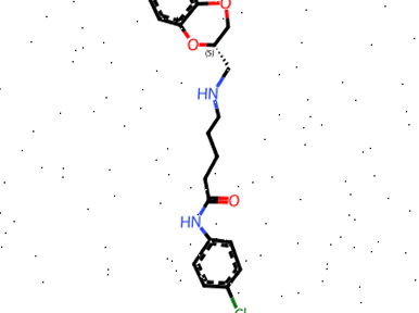 O=C(CCCCNC[C@H]1COc2ccccc2O1)Nc1ccc(Cl)cc1